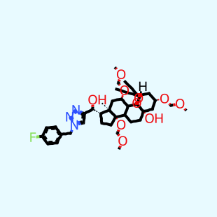 COCO[C@H]1C[C@H]2OC(C)(C)OC[C@]23C2C(CC[C@]3(O)C1)[C@@]1(OCOC)CC[C@H](C(O)c3cn(Cc4ccc(F)cc4)nn3)[C@@]1(C)C[C@H]2OCOC